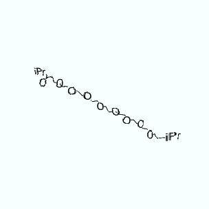 CC(C)CCOCCOCCOCCOCCOCCOCCOCCOCCC(=O)C(C)C